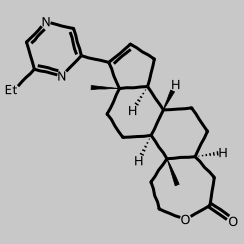 CCc1cncc(C2=CC[C@H]3[C@@H]4CC[C@H]5CC(=O)OCC[C@]5(C)[C@H]4CC[C@]23C)n1